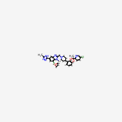 Cc1nnc(-c2cc(F)c3c(c2)nc(CN2CCC(c4cccc5c4O[C@@](C)(c4ccc(Cl)cn4)O5)CC2)n3C[C@@H]2CCO2)[nH]1